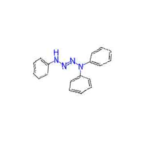 c1ccc(NN=NN(c2ccccc2)c2ccccc2)cc1